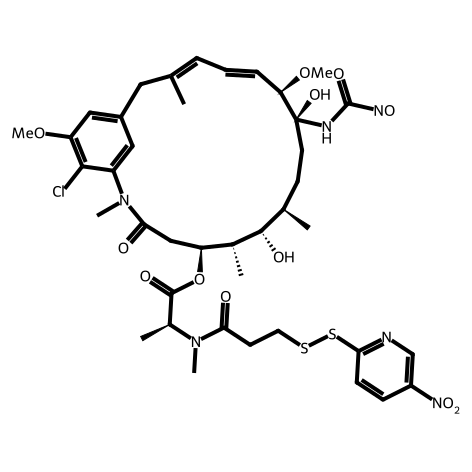 COc1cc2cc(c1Cl)N(C)C(=O)C[C@H](OC(=O)[C@H](C)N(C)C(=O)CCSSc1ccc([N+](=O)[O-])cn1)[C@@H](C)[C@@H](O)[C@H](C)CC[C@@](O)(NC(=O)N=O)[C@H](OC)/C=C/C=C(\C)C2